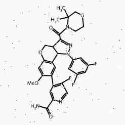 COc1cc2c(cc1-c1cc(C(N)=O)ncc1F)C1C(CO2)C(C(=O)N2CCOCC2(C)C)=NN1c1cc(F)cc(F)c1